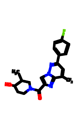 CC1CN(C(=O)c2cn3nc(-c4ccc(F)cc4)cc(C(F)(F)F)c3n2)CCC1O